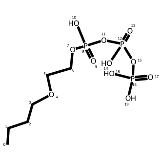 CCCCOCCOP(=O)(O)OP(=O)(O)OP(=O)(O)O